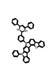 C1=C(c2ccccc2)NC(c2cccc(-n3c4cc5c(cc4c4c6oc7ccccc7c6ccc43)c3ccccc3n5-c3ccccc3)c2)NC1c1ccccc1